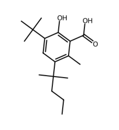 CCCC(C)(C)c1cc(C(C)(C)C)c(O)c(C(=O)O)c1C